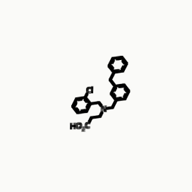 O=C(O)CCN(Cc1cccc(Cc2ccccc2)c1)Cc1ccccc1Cl